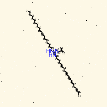 CCCCCCCCCCCCCCCCCCCCNC(=NCC(C)C)NCCCCCCCCCCCCCCCCCCCC